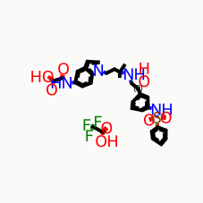 CC(C)(CCn1ccc2cc(NC(=O)C(=O)O)ccc21)NC[C@H](O)c1cccc(NS(=O)(=O)c2ccccc2)c1.O=C(O)C(F)(F)F